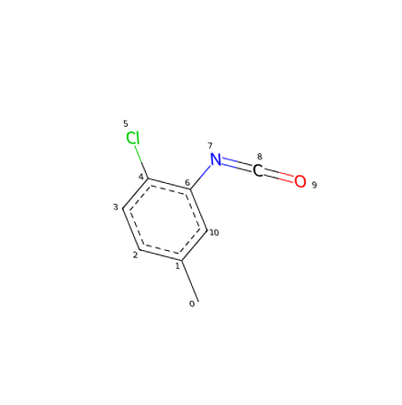 Cc1ccc(Cl)c(N=C=O)c1